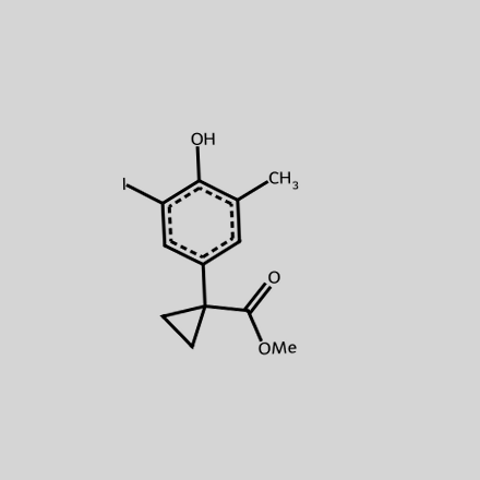 COC(=O)C1(c2cc(C)c(O)c(I)c2)CC1